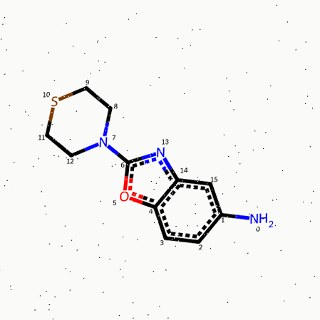 Nc1ccc2oc(N3CCSCC3)nc2c1